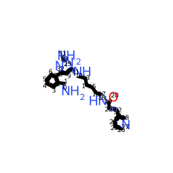 NCc1ccccc1-c1cc(NCCCCCCNC(=O)/C=C/c2cccnc2)nc(N)n1